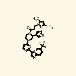 Cc1cc(C)n(CCC(=O)N2CCN(c3ccnc(-c4cnc5ccc(C(F)(F)F)cn45)n3)CC2c2cn[nH]c2)n1